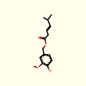 COc1cc(COC(=O)CC=CC(C)C)ccc1O